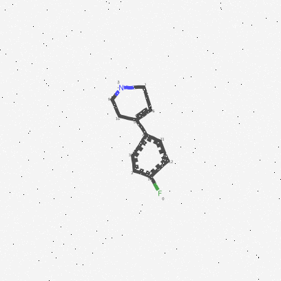 Fc1ccc(C2=CC[N]CC2)cc1